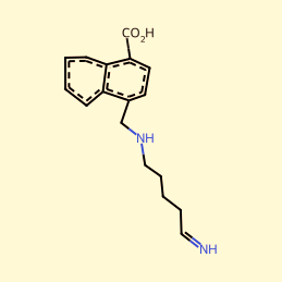 N=CCCCCNCc1ccc(C(=O)O)c2ccccc12